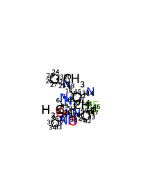 Cc1c(C2C(C)C=NN2c2ccc(C#N)cc2CCN(C)Cc2ccccc2)n(C(=O)NC2CCCC2)c(=O)n1-c1cccc(C(F)(F)F)c1